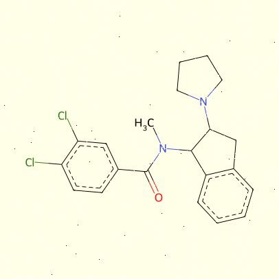 CN(C(=O)c1ccc(Cl)c(Cl)c1)C1c2ccccc2CC1N1CCCC1